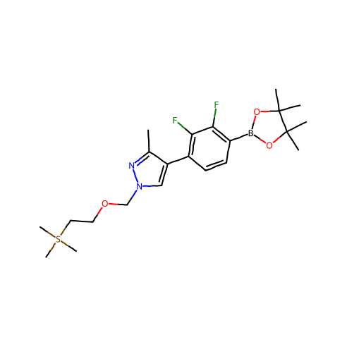 Cc1nn(COCCS(C)(C)C)cc1-c1ccc(B2OC(C)(C)C(C)(C)O2)c(F)c1F